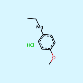 C[CH2][Mg][c]1ccc(OC)cc1.Cl